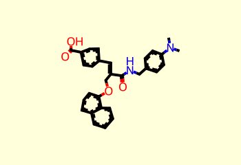 CN(C)c1ccc(CNC(=O)/C(=C/c2ccc(C(=O)O)cc2)COc2cccc3ccccc23)cc1